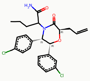 C=CC[C@H]1O[C@H](c2cccc(Cl)c2)[C@H](c2ccc(Cl)cc2)N(C(CCC)C(N)=O)C1=O